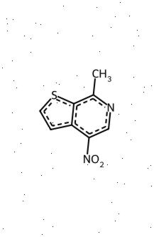 Cc1ncc([N+](=O)[O-])c2ccsc12